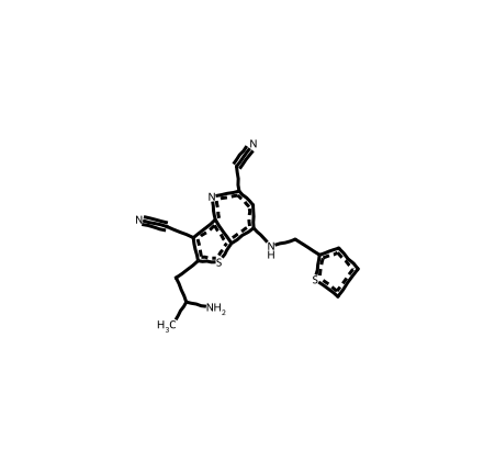 CC(N)Cc1sc2c(NCc3cccs3)cc(C#N)nc2c1C#N